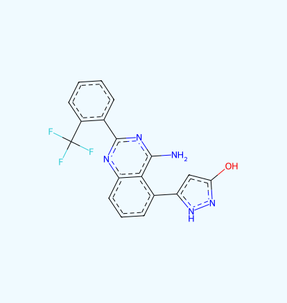 Nc1nc(-c2ccccc2C(F)(F)F)nc2cccc(-c3cc(O)n[nH]3)c12